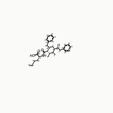 CC[C@H](C)[C@@H](CN(CC(=O)N[C@@H](CCSC)C(=O)O)Cc1ccccc1)NCc1cccnc1